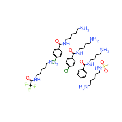 CS(=O)(=O)NCCCCCN.NCCCCCNC(=O)C(F)(F)F.NCCCCCNC(=O)c1ccc(Cl)cc1.NCCCCNC(=O)c1ccc(Cl)cc1.NCCCCNC(=O)c1ccccc1